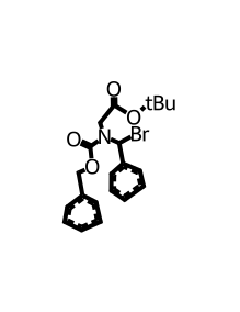 CC(C)(C)OC(=O)CN(C(=O)OCc1ccccc1)C(Br)c1ccccc1